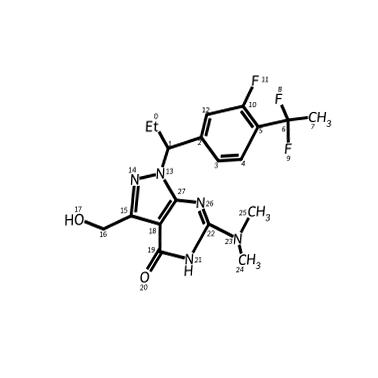 CCC(c1ccc(C(C)(F)F)c(F)c1)n1nc(CO)c2c(=O)[nH]c(N(C)C)nc21